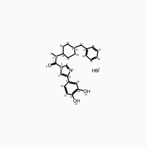 Br.CN(C(=O)n1cnc(-c2ccc(O)c(O)c2)c1)C1CCN(Cc2ccccc2)CC1